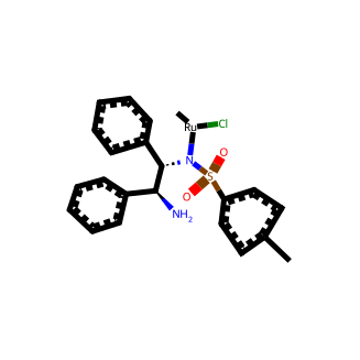 Cc1ccc(S(=O)(=O)[N]([C@@H](c2ccccc2)[C@@H](N)c2ccccc2)[Ru]([CH3])[Cl])cc1